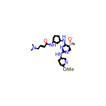 COc1ccc(Nc2ncc([S+](C)[O-])c(Nc3cccc(NC(=O)/C=C/CN(C)C)c3)n2)cn1